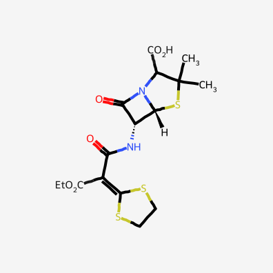 CCOC(=O)C(C(=O)N[C@@H]1C(=O)N2C(C(=O)O)C(C)(C)S[C@H]12)=C1SCCS1